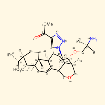 COC(=O)c1cn([C@@H]2C[C@@]34COC[C@@](C)([C@@H]3CC[C@H]3C4=CC[C@@]4(C)[C@H](C(=O)O)[C@@](C)([C@H](C)C(C)C)CC[C@]34C)[C@H]2OC[C@](C)(N)C(C)C)nn1